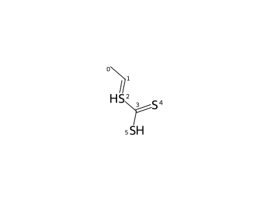 CC=[SH]C(=S)S